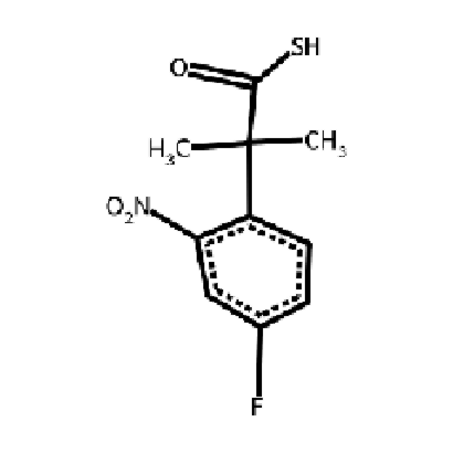 CC(C)(C(=O)S)c1ccc(F)cc1[N+](=O)[O-]